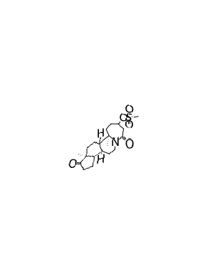 C[C@]12CC[C@H]3[C@@H](CCN4C(=O)CC(OS(C)(=O)=O)CC[C@]34C)C1CCC2=O